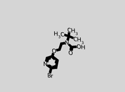 CC(C)(C)N(CCOc1ccc(Br)nc1)C(=O)O